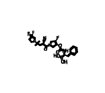 CC(C)(/C=C(\C#N)C(=O)N1C[C@H](F)[C@H](OC(=O)N[C@@H](Cc2ccccc2)B(O)O)C1)N1CCC(F)(F)C1